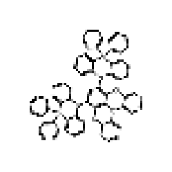 c1ccc([Si]2(c3ccccc3)c3ccccc3N(c3cc(N4c5ccccc5[Si](c5ccccc5)(c5ccccc5)c5ccccc54)c4c5c3Sc3ccccc3B5c3ccccc3S4)c3ccccc32)cc1